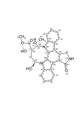 COC(=O)[C@]1(O)C[C@H](C)n2c3ccccc3c3c4c(c5c6ccccc6n(c5c32)[C@]1(C)O)CNC4=O